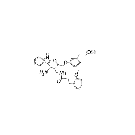 COc1ccccc1CCC(=O)NCC(C(=O)COc1cccc(CCO)c1)C(N)c1c[nH]c2ccccc12